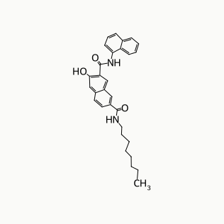 CCCCCCCCNC(=O)c1ccc2cc(O)c(C(=O)Nc3cccc4ccccc34)cc2c1